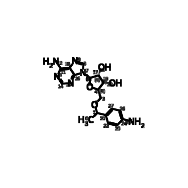 CC(OC[C@H]1O[C@@H](n2cnc3c(N)ncnc32)[C@H](O)[C@@H]1O)c1ccc(N)cc1